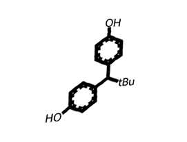 CC(C)(C)C(c1ccc(O)cc1)c1ccc(O)cc1